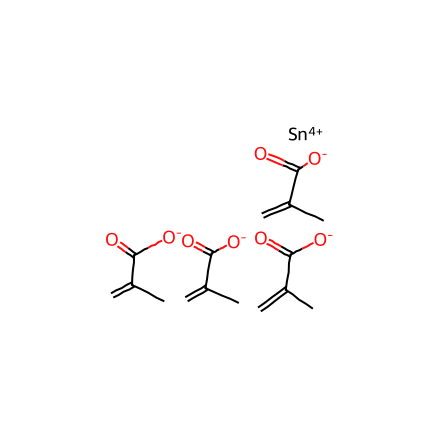 C=C(C)C(=O)[O-].C=C(C)C(=O)[O-].C=C(C)C(=O)[O-].C=C(C)C(=O)[O-].[Sn+4]